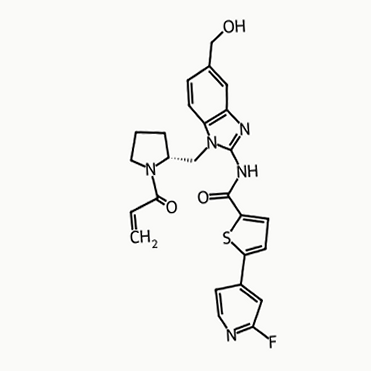 C=CC(=O)N1CCC[C@@H]1Cn1c(NC(=O)c2ccc(-c3ccnc(F)c3)s2)nc2cc(CO)ccc21